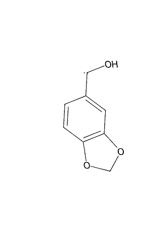 O[CH]c1ccc2c(c1)OCO2